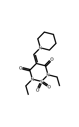 CCN1C(=O)C(=CN2CCCCC2)C(=O)N(CC)S1(=O)=O